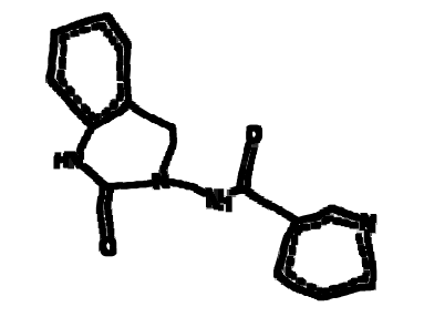 O=C(NN1Cc2ccccc2NC1=O)c1cccnc1